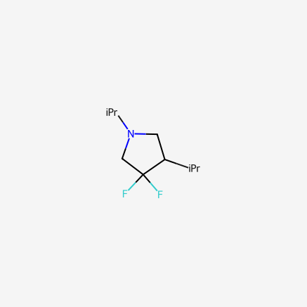 CC(C)C1CN(C(C)C)CC1(F)F